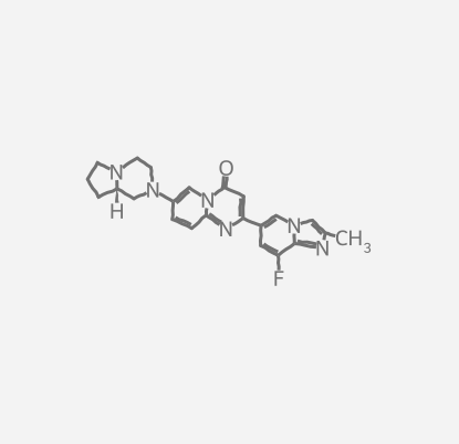 Cc1cn2cc(-c3cc(=O)n4cc(N5CCN6CCC[C@H]6C5)ccc4n3)cc(F)c2n1